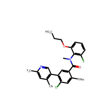 COc1cc(Cl)c(-c2cnc(C(F)(F)F)cc2C#N)cc1C(=O)N(C)c1c(F)cccc1OCCC(=O)O